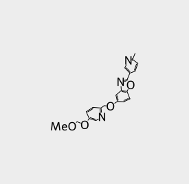 COCOc1ccc(COc2ccc3oc(-c4ccc(C)nc4)nc3c2)nc1